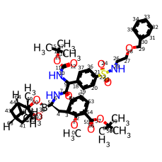 COc1c(C[C@H](NC(=O)C(NC(=O)OC(C)(C)C)c2ccc(S(=O)(=O)NCCOCc3ccccc3)cc2)B2O[C@@H]3C[C@@H]4C[C@@H](C4(C)C)[C@]3(C)O2)cccc1C(=O)OC(C)(C)C